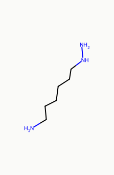 NCCCCCCNN